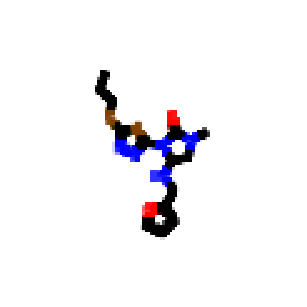 CCCSc1nnc(N2C(=O)N(C)CC2NCc2ccco2)s1